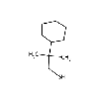 CC(C)(CS)C1CCCCC1